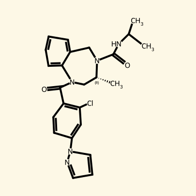 CC(C)NC(=O)N1Cc2ccccc2N(C(=O)c2ccc(-n3cccn3)cc2Cl)C[C@H]1C